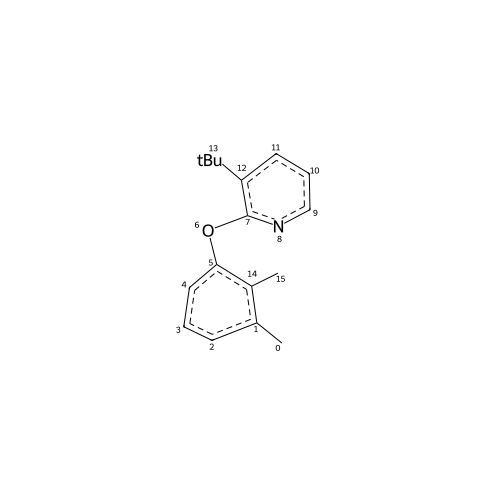 Cc1cccc(Oc2ncccc2C(C)(C)C)c1C